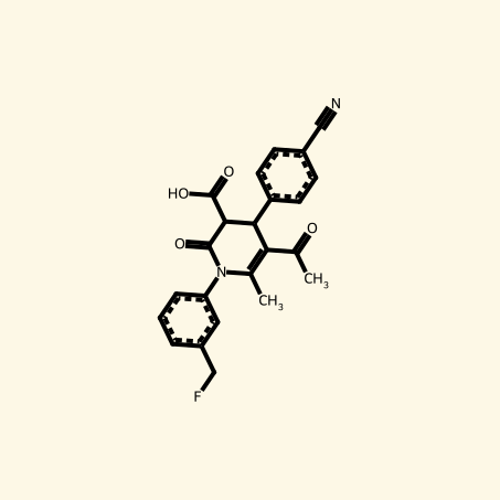 CC(=O)C1=C(C)N(c2cccc(CF)c2)C(=O)C(C(=O)O)C1c1ccc(C#N)cc1